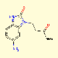 CNC(=O)CCn1c(=O)[nH]c2ccc(N)cc21